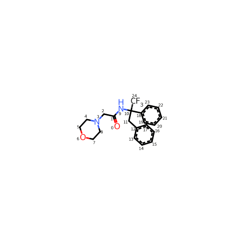 O=C(CN1CCOCC1)NC(Cc1ccccc1)(c1ccccc1)C(F)(F)F